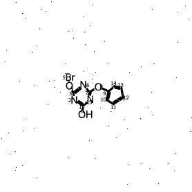 Oc1nc(OBr)nc(Oc2ccccc2)n1